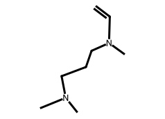 C=CN(C)CCCN(C)C